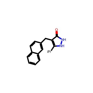 CC(C)c1[nH][nH]c(=O)c1Cc1ccc2ccccc2c1